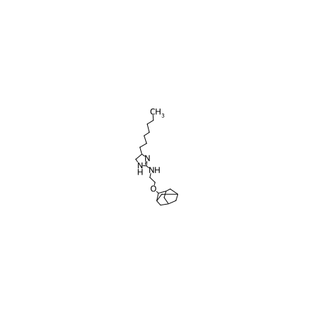 CCCCCCCC1CNC(NCCOC2C3CC4CC(C3)CC2C4)=N1